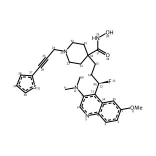 COc1ccc2ncc(N(C)C)c([C@H](F)CCC3(C(=O)NO)CCN(CC#Cc4cccs4)CC3)c2c1